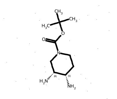 CC(C)(C)OC(=O)N1CC[C@H](N)[C@H](N)C1